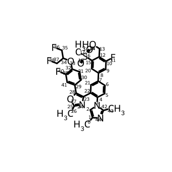 Cc1cn(-c2ccc(-c3cc(F)c(CO)c(S(C)(=O)=O)c3)cc2-c2nc(C)oc2-c2ccc(OC(CF)CF)c(F)c2)c(C)n1